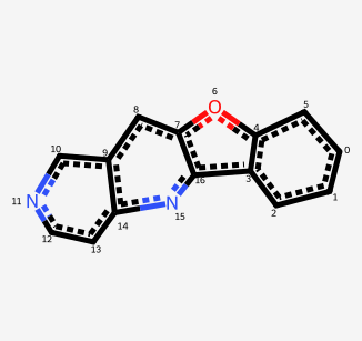 c1ccc2c(c1)oc1cc3cnccc3nc12